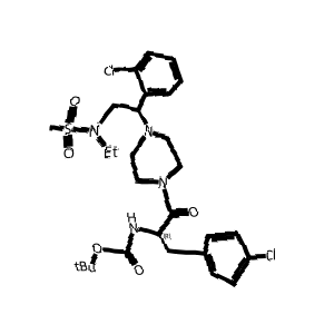 CCN(CC(c1ccccc1Cl)N1CCN(C(=O)[C@@H](Cc2ccc(Cl)cc2)NC(=O)OC(C)(C)C)CC1)S(C)(=O)=O